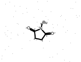 CCC(C)N1C(=O)CCC1=O